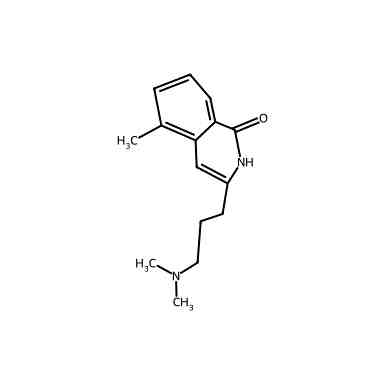 Cc1cccc2c(=O)[nH]c(CCCN(C)C)cc12